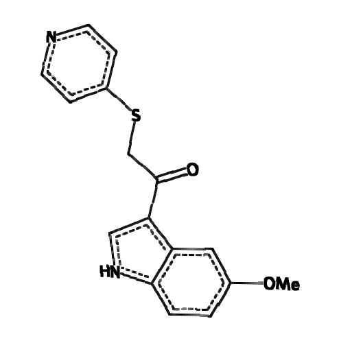 COc1ccc2[nH]cc(C(=O)CSc3ccncc3)c2c1